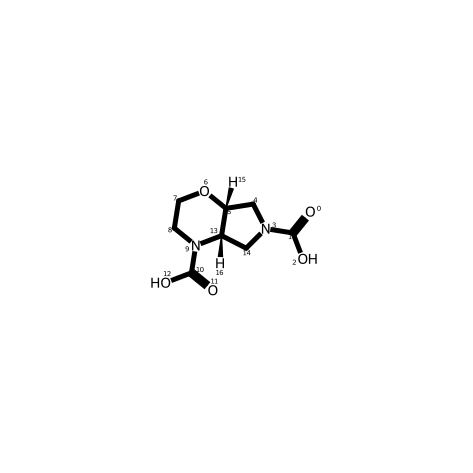 O=C(O)N1C[C@H]2OCCN(C(=O)O)[C@H]2C1